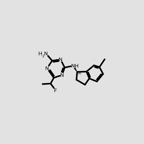 Cc1ccc2c(c1)[C@H](Nc1nc(N)nc(C(C)F)n1)CC2